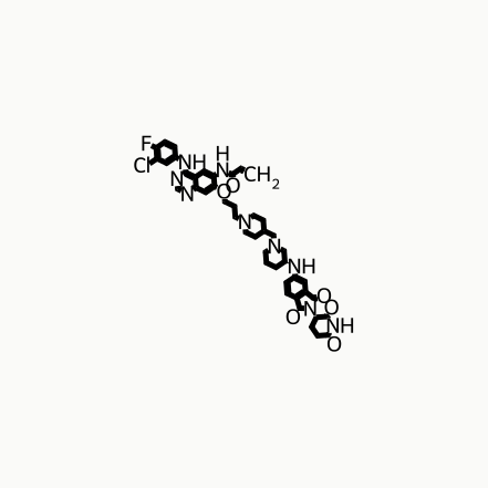 C=CC(=O)Nc1cc2c(Nc3ccc(F)c(Cl)c3)ncnc2cc1OCCCN1CCC(CN2CCC[C@@H](Nc3ccc4c(c3)C(=O)N(C3CCC(=O)NC3=O)C4=O)C2)CC1